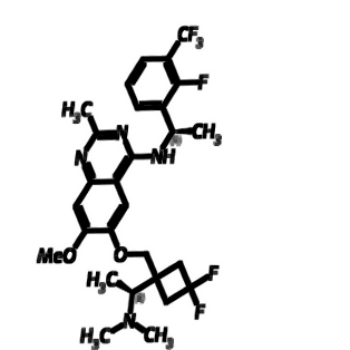 COc1cc2nc(C)nc(N[C@H](C)c3cccc(C(F)(F)F)c3F)c2cc1OCC1([C@H](C)N(C)C)CC(F)(F)C1